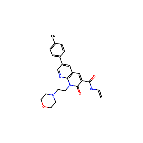 C=CNC(=O)c1cc2cc(-c3ccc(C#N)cc3)cnc2n(CCN2CCOCC2)c1=O